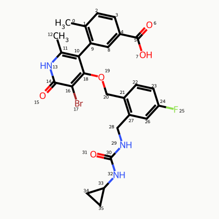 Cc1ccc(C(=O)O)cc1-c1c(C)[nH]c(=O)c(Br)c1OCc1ccc(F)cc1CNC(=O)NC1CC1